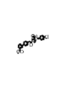 COC(=O)c1cccc(-c2ccc(CC(=O)N3CCC3(C)C(=O)N(C)Cc3ccc(Cl)cc3)cc2)c1